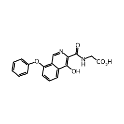 O=C(O)CNC(=O)c1ncc2c(Oc3ccccc3)cccc2c1O